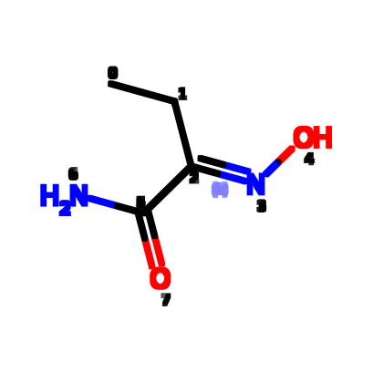 CC/C(=N\O)C(N)=O